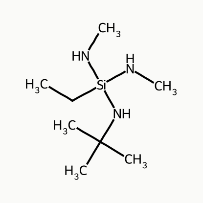 CC[Si](NC)(NC)NC(C)(C)C